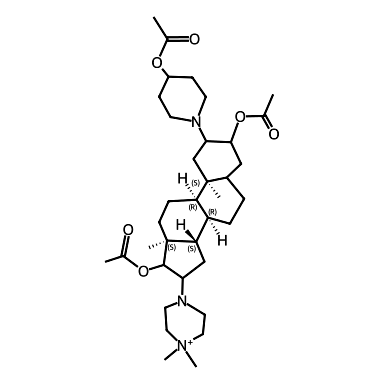 CC(=O)OC1CCN(C2C[C@@]3(C)C(CC[C@@H]4[C@H]3CC[C@]3(C)C(OC(C)=O)C(N5CC[N+](C)(C)CC5)C[C@@H]43)CC2OC(C)=O)CC1